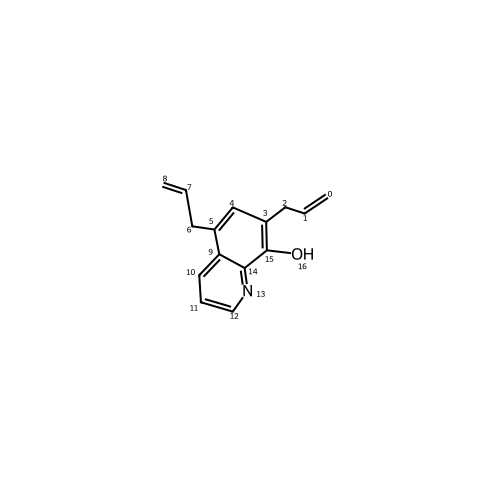 C=CCc1cc(CC=C)c2cccnc2c1O